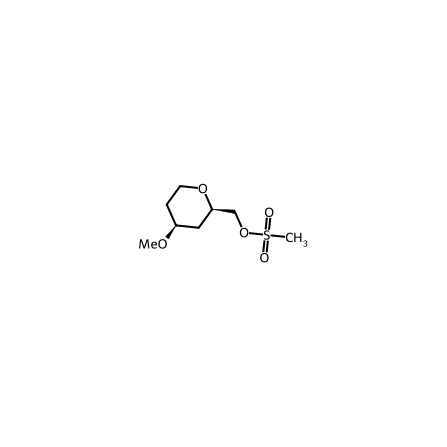 CO[C@H]1CCO[C@@H](COS(C)(=O)=O)C1